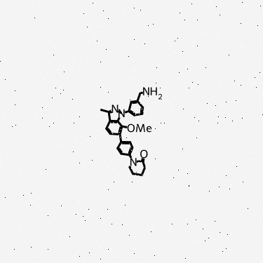 COc1c(-c2ccc(N3CCCCC3=O)cc2)ccc2c(C)nn(-c3cccc(CN)c3)c12